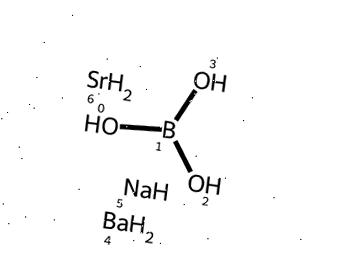 OB(O)O.[BaH2].[NaH].[SrH2]